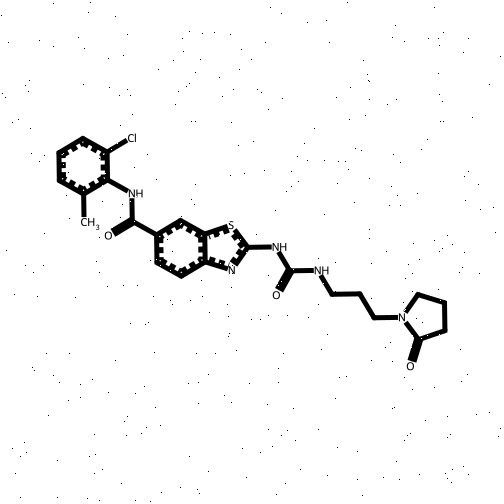 Cc1cccc(Cl)c1NC(=O)c1ccc2nc(NC(=O)NCCCN3CCCC3=O)sc2c1